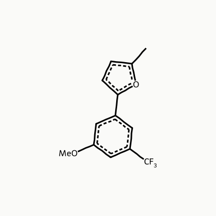 COc1cc(-c2ccc(C)o2)cc(C(F)(F)F)c1